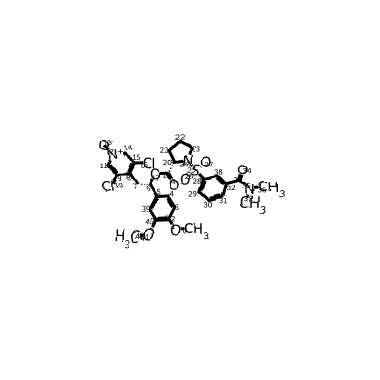 COc1ccc([C@H](Cc2c(Cl)c[n+]([O-])cc2Cl)OC(=O)[C@@H]2CCCN2S(=O)(=O)c2cccc(C(=O)N(C)C)c2)cc1OC